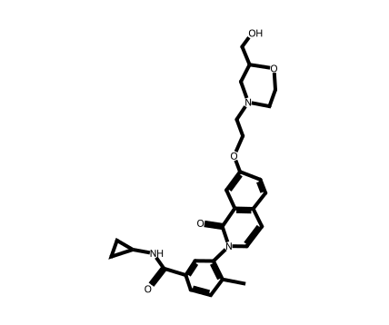 Cc1ccc(C(=O)NC2CC2)cc1-n1ccc2ccc(OCCN3CCOC(CO)C3)cc2c1=O